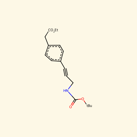 CCOC(=O)Cc1ccc(C#CCNC(=O)OC(C)(C)C)cc1